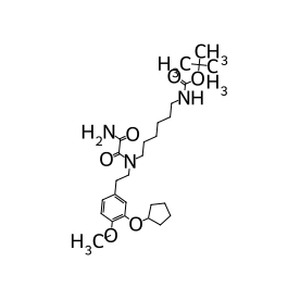 COc1ccc(CCN(CCCCCCNC(=O)OC(C)(C)C)C(=O)C(N)=O)cc1OC1CCCC1